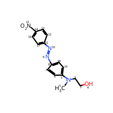 CN(CCO)c1ccc(/N=N/c2ccc([N+](=O)[O-])cc2)cc1